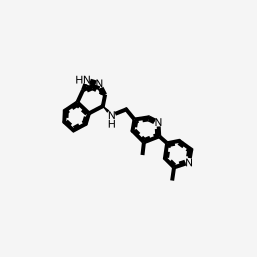 Cc1cc(-c2ncc(CN[C@@H]3c4cc([nH]n4)-c4ccccc43)cc2C)ccn1